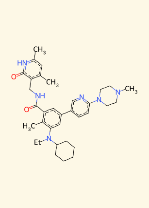 CCN(c1cc(-c2ccc(N3CCN(C)CC3)nc2)cc(C(=O)NCc2c(C)cc(C)[nH]c2=O)c1C)C1CCCCC1